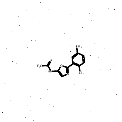 CSc1ccc(Cl)c(-c2ncc(NC(=O)C(F)(F)F)o2)c1